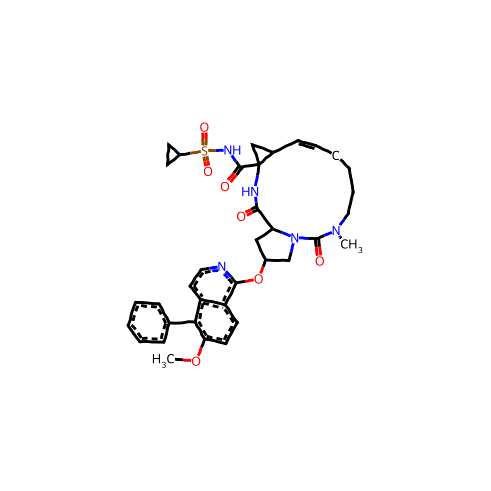 COc1ccc2c(OC3CC4C(=O)NC5(C(=O)NS(=O)(=O)C6CC6)CC5C=CCCCCN(C)C(=O)N4C3)nccc2c1-c1ccccc1